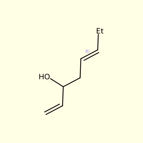 C=CC(O)C/C=C/CC